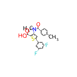 Cc1ccc(C(=O)N(C)c2cc(-c3cc(F)cc(F)c3)sc2C(=O)O)cc1